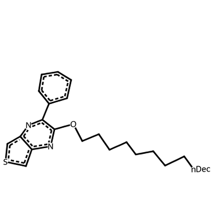 CCCCCCCCCCCCCCCCCCOc1nc2cscc2nc1-c1ccccc1